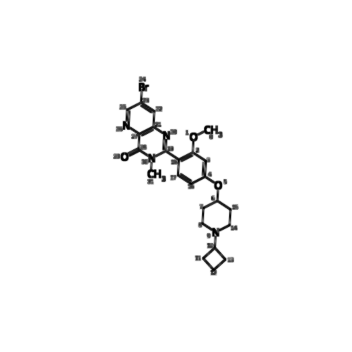 COc1cc(OC2CCN(C3CCC3)CC2)ccc1-c1nc2cc(Br)cnc2c(=O)n1C